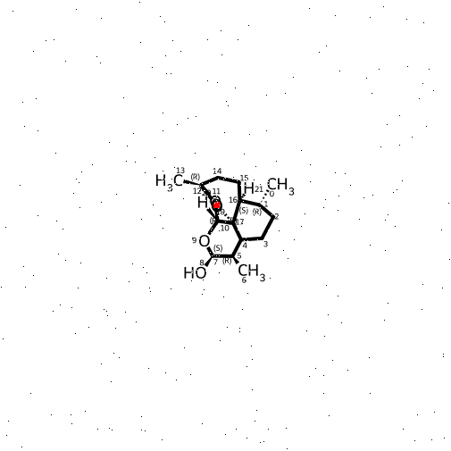 C[C@@H]1CCC2[C@@H](C)[C@@H](O)O[C@@H]3O[C@@]4(C)CC[C@@H]1[C@@]23OO4